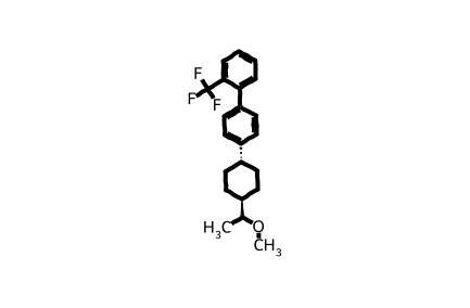 COC(C)[C@H]1CC[C@H](c2ccc(-c3ccccc3C(F)(F)F)cc2)CC1